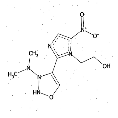 CN(C)N1NOC=C1c1ncc([N+](=O)[O-])n1CCO